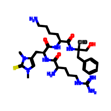 Cn1cc(C[C@H](NC(=O)C(N)CCCNC(=N)N)C(=O)N[C@@H](CCCCN)C(=O)NC(C=O)(CO)Cc2ccccc2)n(C)c1=S